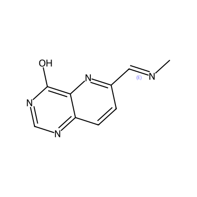 C/N=C/c1ccc2ncnc(O)c2n1